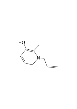 C=CCN1CC=CC(O)=C1C